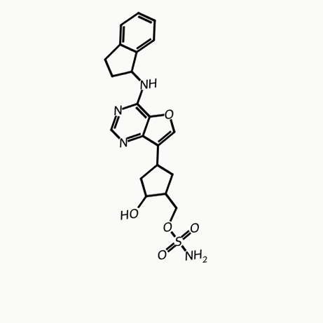 NS(=O)(=O)OCC1CC(c2coc3c(NC4CCc5ccccc54)ncnc23)CC1O